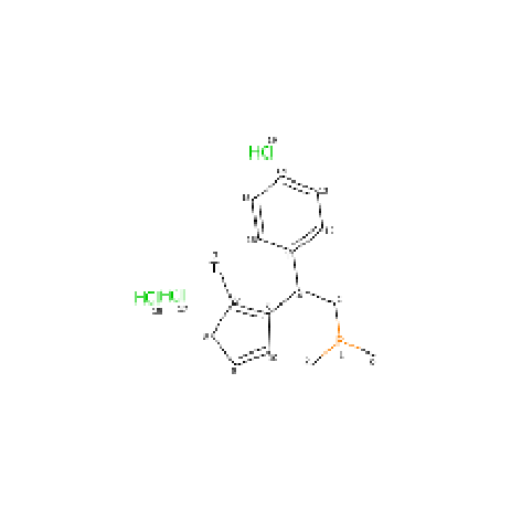 CP(C)CC(C1=[C]([Ti])CC=C1)c1ccccc1.Cl.Cl.Cl